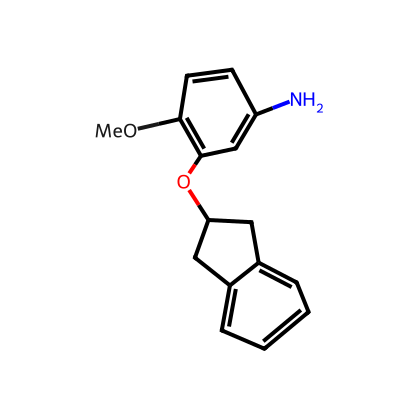 COc1ccc(N)cc1OC1Cc2ccccc2C1